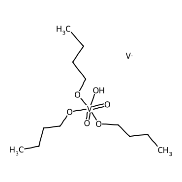 CCCC[O][V](=[O])(=[O])([OH])([O]CCCC)[O]CCCC.[V]